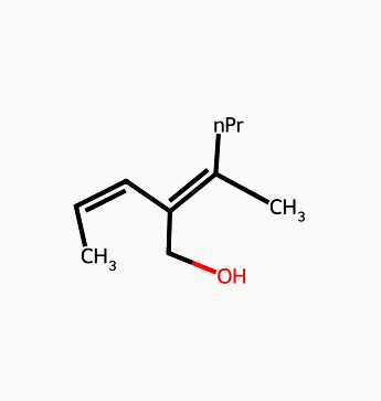 C/C=C\C(CO)=C(\C)CCC